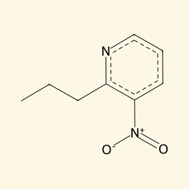 CCCc1ncccc1[N+](=O)[O-]